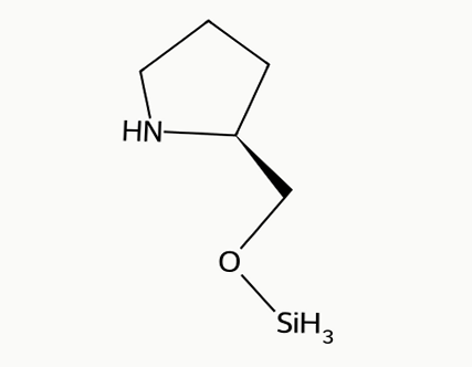 [SiH3]OC[C@@H]1CCCN1